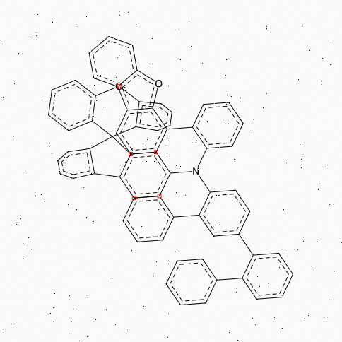 c1ccc(-c2ccccc2-c2ccc(N(c3ccc4c(c3)C3(c5ccccc5Oc5ccccc53)c3ccccc3-4)c3ccccc3-c3cccc4c3oc3ccccc34)c(-c3ccccc3)c2)cc1